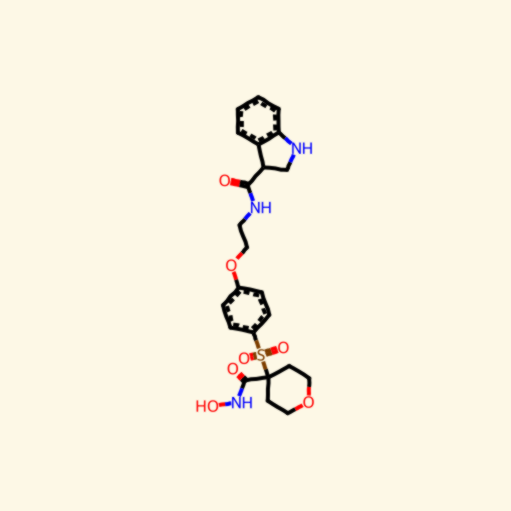 O=C(NCCOc1ccc(S(=O)(=O)C2(C(=O)NO)CCOCC2)cc1)C1CNc2ccccc21